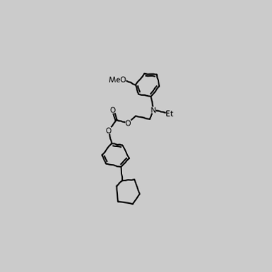 CCN(CCOC(=O)Oc1ccc(C2CCCCC2)cc1)c1cccc(OC)c1